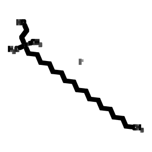 CCCCCCCCCCCCCCCCCC[N+](C)(C)CCO.[I-]